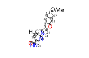 COC1Cc2ccc(OC3CCN(c4nc5c(cc4C)C(=O)NC5)CC3)cc2C1